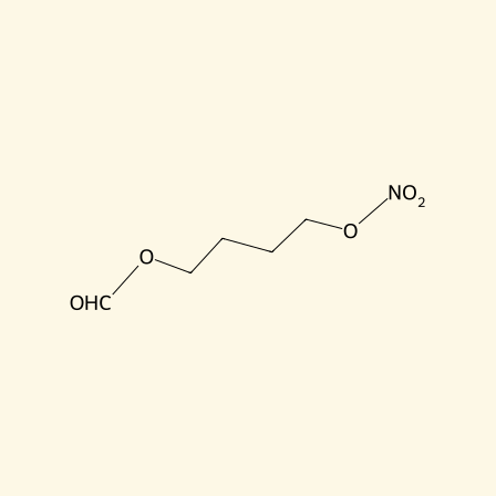 O=COCCCCO[N+](=O)[O-]